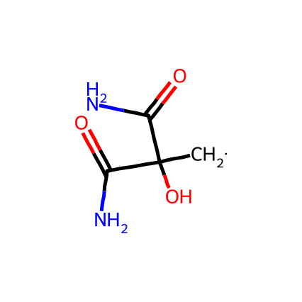 [CH2]C(O)(C(N)=O)C(N)=O